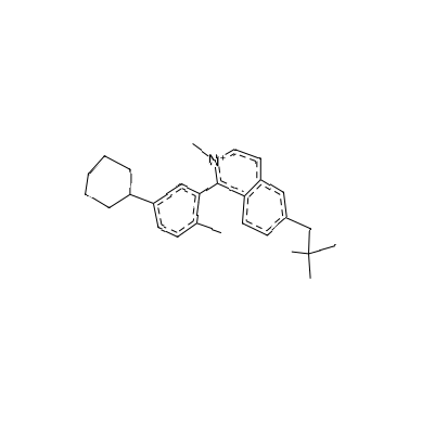 Cc1ccc(C2CCCCC2)cc1-c1c2ccc(CC(C)(C)C)cc2cc[n+]1C